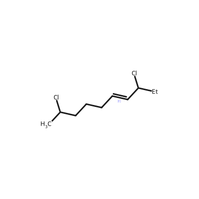 CCC(Cl)/C=C/CCCC(C)Cl